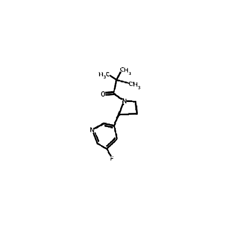 CC(C)(C)C(=O)N1CCC1c1cncc(F)c1